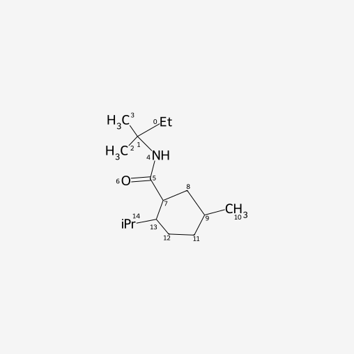 CCC(C)(C)NC(=O)C1CC(C)CCC1C(C)C